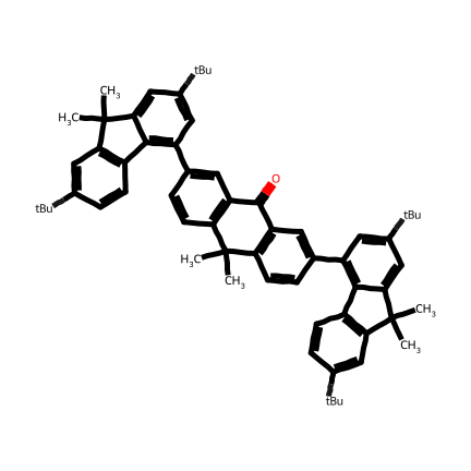 CC(C)(C)c1ccc2c(c1)C(C)(C)c1cc(C(C)(C)C)cc(-c3ccc4c(c3)C(=O)c3cc(-c5cc(C(C)(C)C)cc6c5-c5ccc(C(C)(C)C)cc5C6(C)C)ccc3C4(C)C)c1-2